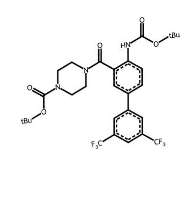 CC(C)(C)OC(=O)Nc1ccc(-c2cc(C(F)(F)F)cc(C(F)(F)F)c2)cc1C(=O)N1CCN(C(=O)OC(C)(C)C)CC1